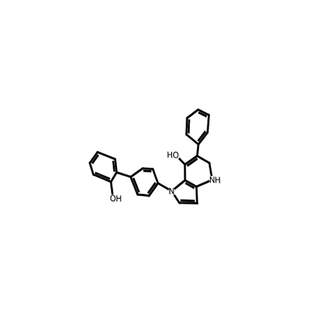 OC1=C(c2ccccc2)CNc2ccn(-c3ccc(-c4ccccc4O)cc3)c21